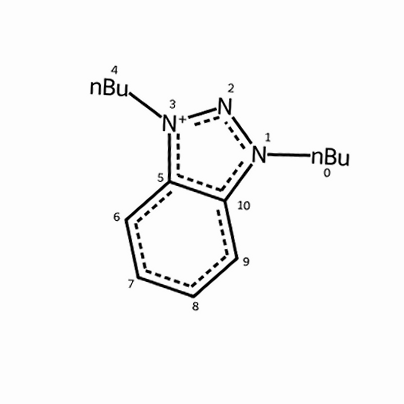 CCCCn1n[n+](CCCC)c2ccccc21